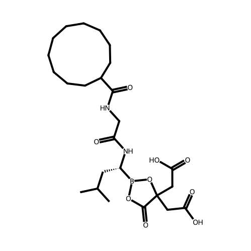 CC(C)C[C@H](NC(=O)CNC(=O)C1CCCCCCCCCC1)B1OC(=O)C(CC(=O)O)(CC(=O)O)O1